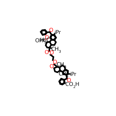 CC(C)c1cc2c(cc1C(=O)c1ccccc1OC=O)C1(C)CCCC(C)(C(=O)OCCCOC(=O)C3(C)CCCC4(C)c5cc(C(=O)c6ccccc6C(=O)O)c(C(C)C)cc5CCC34)C1CC2